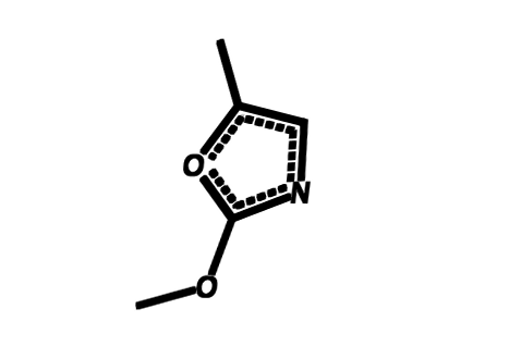 COc1ncc(C)o1